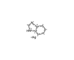 [Ag].c1ccc2[nH]cnc2c1